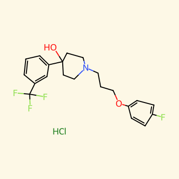 Cl.OC1(c2cccc(C(F)(F)F)c2)CCN(CCCOc2ccc(F)cc2)CC1